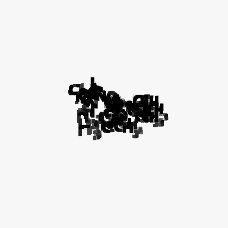 CC(C)(C)[Si](C)(C)OC[C@H]1O[C@@H](n2cc(I)c3c(Cl)ncnc32)C[C@H]1O[Si](C)(C)C(C)(C)C